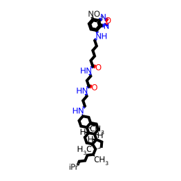 CC(C)CCC[C@@H](C)[C@H]1CC[C@H]2[C@@H]3CC=C4C[C@@H](NCCCNC(=O)CCNC(=O)CCCCCNc5ccc([N+](=O)[O-])c6nonc56)CC[C@]4(C)[C@H]3CC[C@]12C